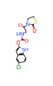 O=C(NCC(=O)N1CCSC1=O)Oc1cc2cc(Cl)ccc2[nH]1